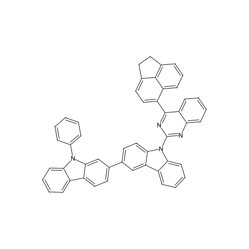 c1ccc(-n2c3ccccc3c3ccc(-c4ccc5c(c4)c4ccccc4n5-c4nc(-c5ccc6c7c(cccc57)CC6)c5ccccc5n4)cc32)cc1